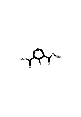 COC(=O)c1cccc(C(=O)OC(C)(C)C)c1I